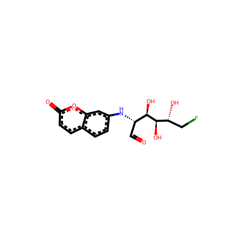 O=C[C@H](Nc1ccc2ccc(=O)oc2c1)[C@@H](O)[C@H](O)[C@H](O)CF